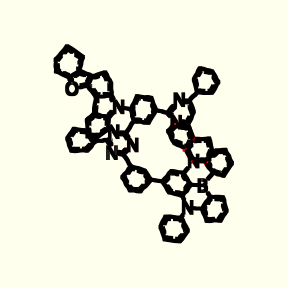 c1ccc(-c2cc(-c3ccccc3)nc(-c3ccc(-n4c5ccccc5c5c6oc7ccccc7c6ccc54)c(-c4nc(-c5ccccc5)nc(-c5cccc(-c6cc7c8c(c6)N(c6ccccc6)c6ccccc6B8c6ccccc6N7c6ccccc6)c5)n4)c3)n2)cc1